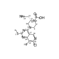 CSc1nc(N2CCN(C(=O)O)[C@@H](CC#N)C2)c2cnc(Cl)c(F)c2n1